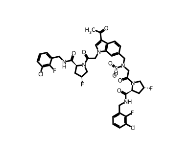 CC(=O)c1cn(CC(=O)N2C[C@H](F)C[C@H]2C(=O)NCc2cccc(Cl)c2F)c2cc(CN(CC(=O)N3C[C@H](F)C[C@H]3C(=O)NCc3cccc(Cl)c3F)[SH](=O)=O)ccc12